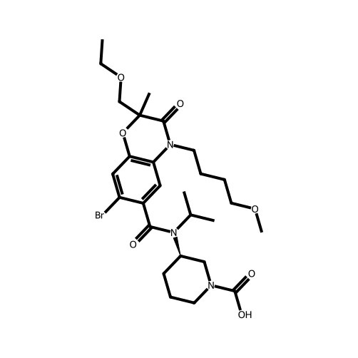 CCOCC1(C)Oc2cc(Br)c(C(=O)N(C(C)C)[C@@H]3CCCN(C(=O)O)C3)cc2N(CCCCOC)C1=O